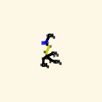 CCC(C)(CC)SSNC